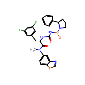 CN(C(=O)[C@H](Cc1cc(F)cc(F)c1)NC(=O)N[S@@+]([O-])N1CCCC1c1ccccc1)c1ccc2scnc2c1